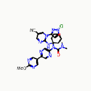 COc1ncc(-c2cnc(N(C(=O)N(C)C)C3(NC4N=CC(C#N)=CN4c4ccn(Cl)n4)CCCCC3)cn2)cn1